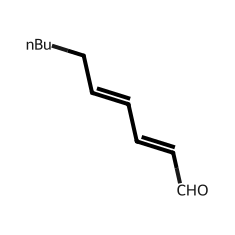 CCCCCC=CC=CC=O